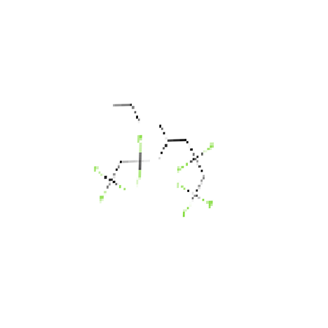 CCCCC(CC(F)(F)CC(F)(F)F)CC(F)(F)CC(F)(F)F